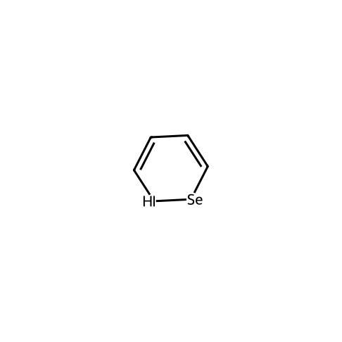 C1=C[Se][IH]C=C1